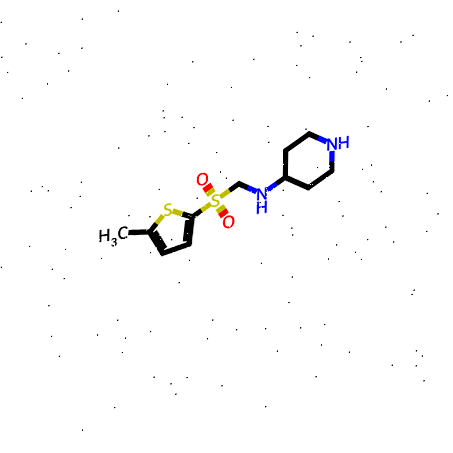 Cc1ccc(S(=O)(=O)CNC2CCNCC2)s1